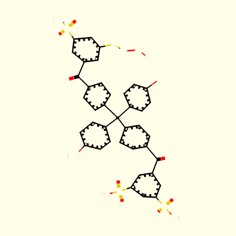 O=C(c1ccc(C(c2ccc(O)cc2)(c2ccc(O)cc2)c2ccc(C(=O)c3cc(S(=O)(=O)O)cc(S(=O)(=O)O)c3)cc2)cc1)c1cc(SOOO)cc(S(=O)(=O)O)c1